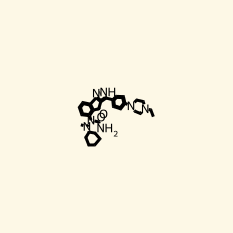 CCN1CCN(c2ccc(-c3[nH]nc4c3C(=O)c3c-4cccc3N(C(N)=O)N(C)C3CCCCC3)cc2)CC1